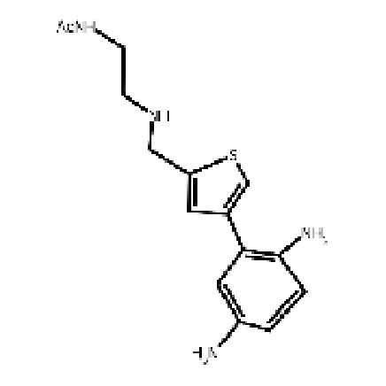 CC(=O)NCCNCc1cc(-c2cc(N)ccc2N)cs1